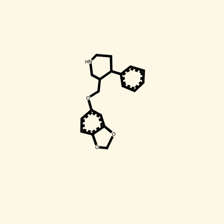 c1ccc(C2CCNCC2COc2ccc3c(c2)OCO3)cc1